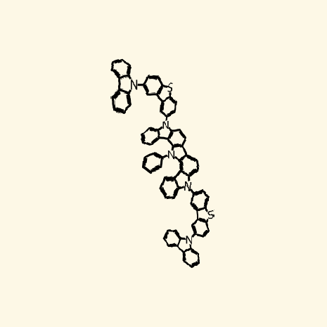 c1ccc(-n2c3c(ccc4c3c3ccccc3n4-c3ccc4sc5ccc(-n6c7ccccc7c7ccccc76)cc5c4c3)c3ccc4c(c5ccccc5n4-c4ccc5sc6ccc(-n7c8ccccc8c8ccccc87)cc6c5c4)c32)cc1